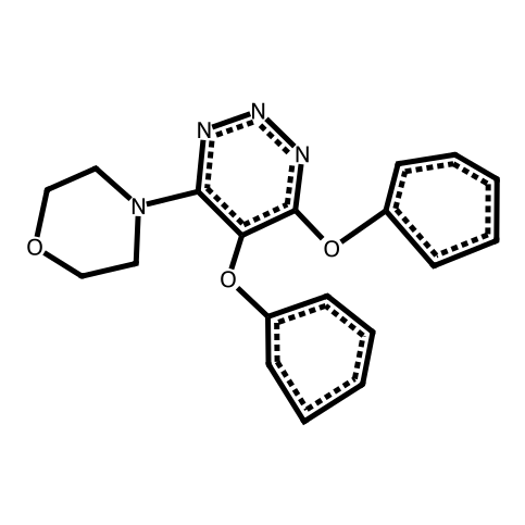 c1ccc(Oc2nnnc(N3CCOCC3)c2Oc2ccccc2)cc1